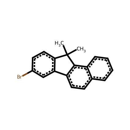 CC1(C)c2ccc(Br)cc2-c2ccc3ccccc3c21